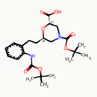 CC(C)(C)OC(=O)Nc1ccccc1CC[C@@H]1CN(C(=O)OC(C)(C)C)C[C@@H](C(=O)O)O1